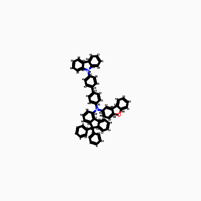 c1ccc(C2(c3ccccc3)c3ccccc3-c3c(N(c4ccc(-c5ccc(-n6c7ccccc7c7ccccc76)cc5)cc4)c4ccc5oc6ccccc6c5c4)cccc32)cc1